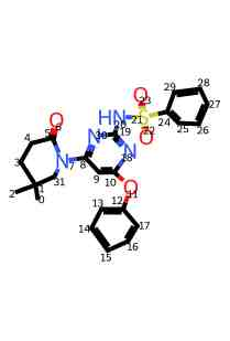 CC1(C)CCC(=O)N(c2cc(Oc3ccccc3)nc(NS(=O)(=O)c3ccccc3)n2)C1